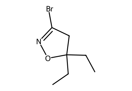 CCC1(CC)CC(Br)=NO1